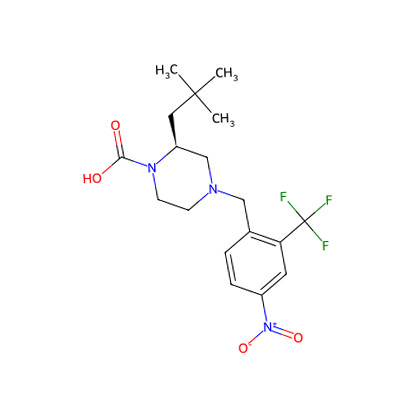 CC(C)(C)C[C@H]1CN(Cc2ccc([N+](=O)[O-])cc2C(F)(F)F)CCN1C(=O)O